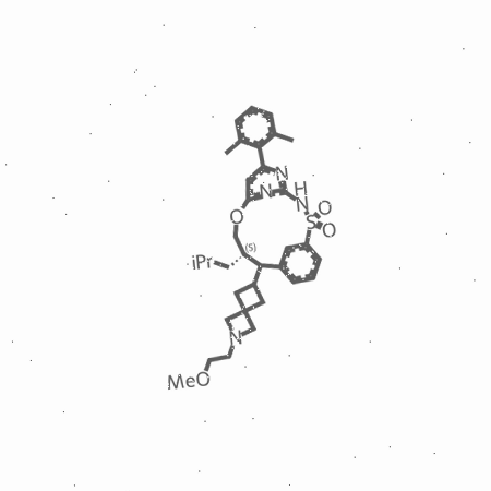 COCCN1CC2(CC(C3c4cccc(c4)S(=O)(=O)Nc4nc(cc(-c5c(C)cccc5C)n4)OC[C@H]3CC(C)C)C2)C1